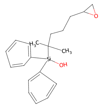 CC(C)(CCCC1CO1)[Si](O)(c1ccccc1)c1ccccc1